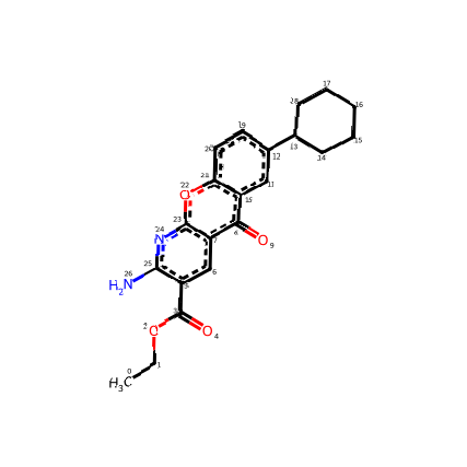 CCOC(=O)c1cc2c(=O)c3cc(C4CCCCC4)ccc3oc2nc1N